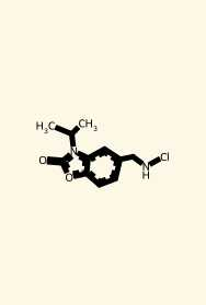 CC(C)n1c(=O)oc2ccc(CNCl)cc21